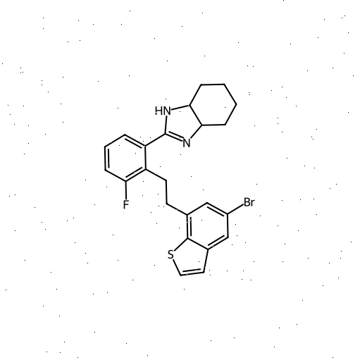 Fc1cccc(C2=NC3CCCCC3N2)c1CCc1cc(Br)cc2ccsc12